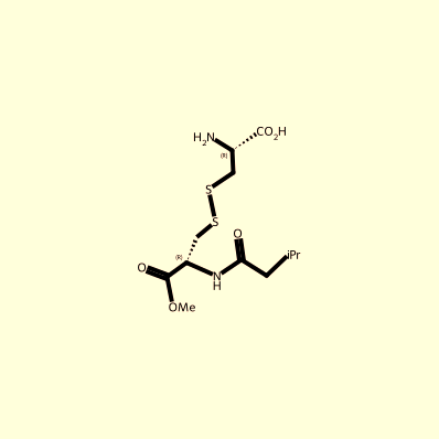 COC(=O)[C@H](CSSC[C@H](N)C(=O)O)NC(=O)CC(C)C